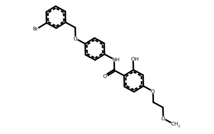 COCCOc1ccc(C(=O)Nc2ccc(OCc3cccc(Br)c3)cc2)c(O)c1